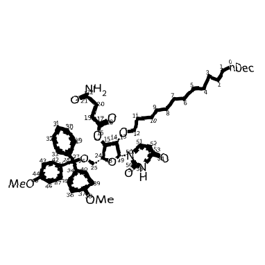 CCCCCCCCCCCCCCCCCCCCCCO[C@H]1C(OC(=O)CCC(N)=O)[C@@H](COC(c2ccccc2)(c2ccc(OC)cc2)c2ccc(OC)cc2)O[C@H]1n1ccc(=O)[nH]c1=O